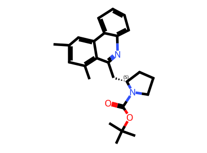 Cc1cc(C)c2c(C[C@@H]3CCCN3C(=O)OC(C)(C)C)nc3ccccc3c2c1